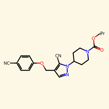 CC(C)OC(=O)N1CCC(n2ncc(COc3ccc(C#N)cc3)c2C#N)CC1